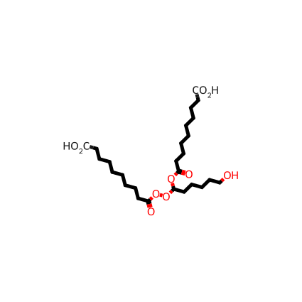 O=C(O)CCCCCCCCC(=O)OOC(CCCCCO)OC(=O)CCCCCCCCC(=O)O